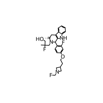 C[C@@H]1Cc2c([nH]c3ccccc23)C(c2ccc(OCCC3CN(CF)C3)cc2F)N1CC(C)(F)CO